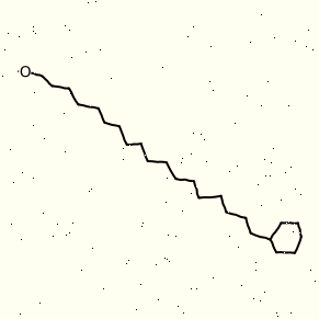 [O]CCCCCCCCCCCCCCCCCCC1CCCCC1